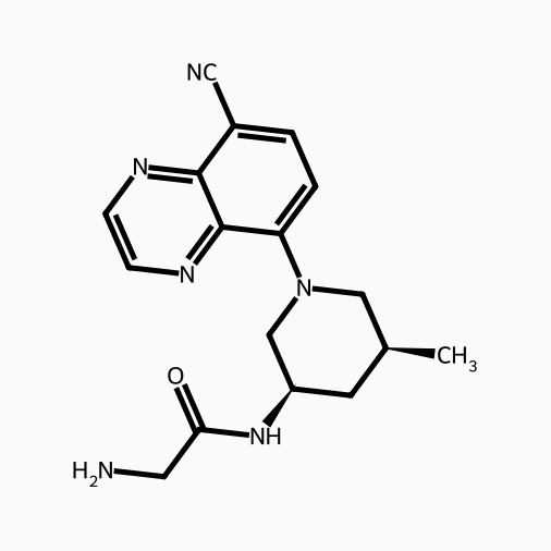 C[C@H]1C[C@@H](NC(=O)CN)CN(c2ccc(C#N)c3nccnc23)C1